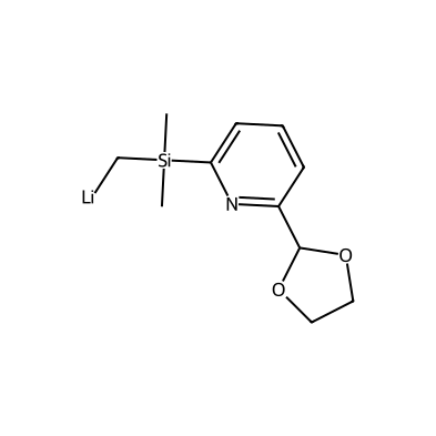 [Li][CH2][Si](C)(C)c1cccc(C2OCCO2)n1